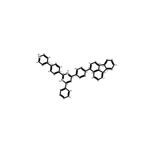 c1ccc(-c2cc(-c3ccc(-c4ccc5c6c(cccc46)-c4ccccc4-5)cc3)nc(-c3ccc(-c4ccncc4)cc3)n2)cc1